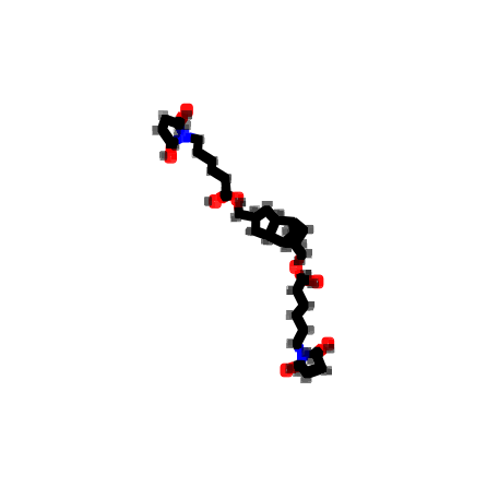 O=C(CCCCCN1C(=O)CCC1=O)OCC1CC2C3CC(COC(=O)CCCCCN4C(=O)C=CC4=O)C(C3)C2C1